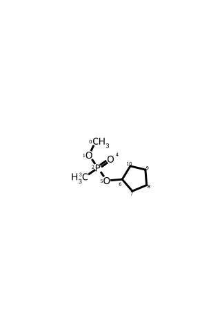 COP(C)(=O)OC1CCCC1